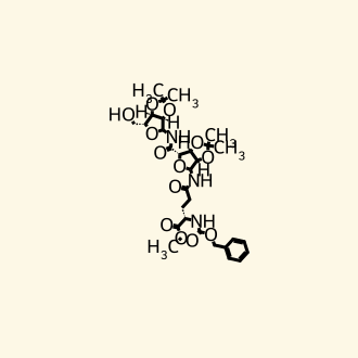 COC(=O)[C@H](CCC(=O)NC1O[C@H](C(=O)NC2O[C@H](CO)[C@H]3OC(C)(C)O[C@@H]23)[C@H]2OC(C)(C)O[C@@H]12)NC(=O)OCc1ccccc1